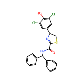 O=C(NC(c1ccccc1)c1ccccc1)C1=NC(c2cc(Cl)c(O)c(Cl)c2)CS1